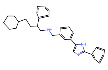 c1ccc(-c2ncc(-c3cccc(CNCC(CCC4CCCCC4)c4ccccc4)c3)[nH]2)cc1